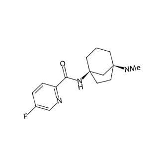 CN[C@@]12CCC[C@@](NC(=O)c3ccc(F)cn3)(CC1)C2